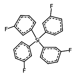 Fc1cccc([Si](c2cccc(F)c2)(c2cccc(F)c2)c2cccc(F)c2)c1